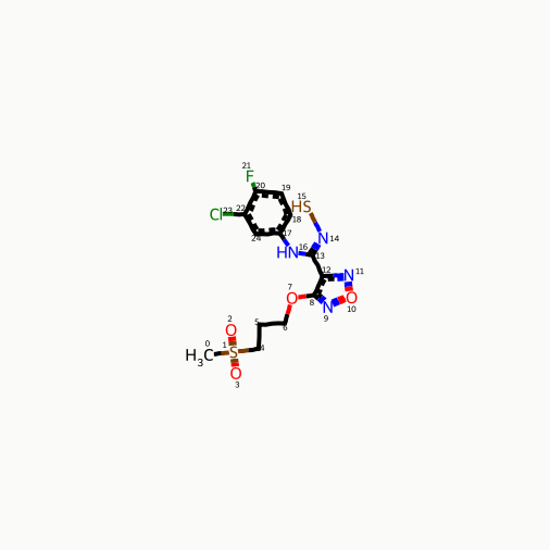 CS(=O)(=O)CCCOc1nonc1/C(=N/S)Nc1ccc(F)c(Cl)c1